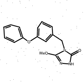 COc1n[nH]c(=O)n1Cc1cccc(Oc2ccccc2)c1